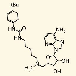 CN(CCCCCNC(=O)Nc1ccc(C(C)(C)C)cc1)C[C@H]1O[C@@H](n2cnc3c(N)ccnc32)[C@H](O)[C@@H]1O